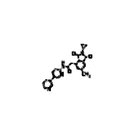 Cc1cc(CC(=O)Nc2ccc(-c3cccnc3)cn2)c2c(c1)C(=O)N(C1CC1)C2=O